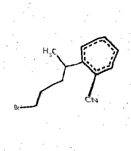 CC(CCCBr)c1ccccc1C#N